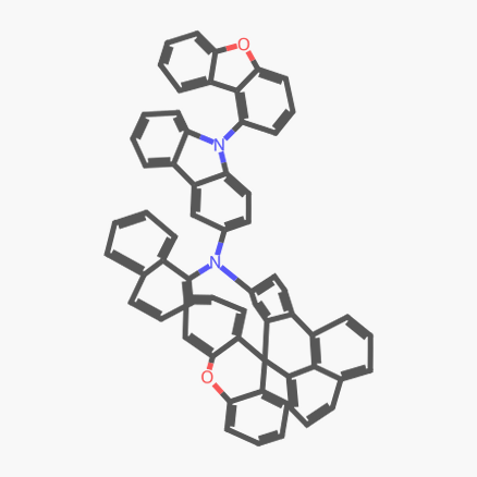 c1ccc2c(c1)Oc1ccccc1C21c2cc(N(c3ccc4c(c3)c3ccccc3n4-c3cccc4oc5ccccc5c34)c3cccc4ccccc34)ccc2-c2cccc3cccc1c23